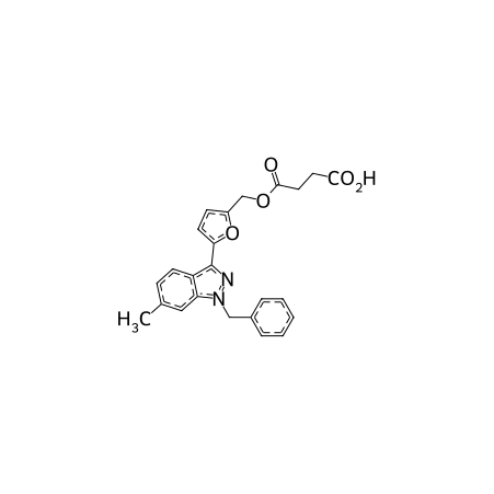 Cc1ccc2c(-c3ccc(COC(=O)CCC(=O)O)o3)nn(Cc3ccccc3)c2c1